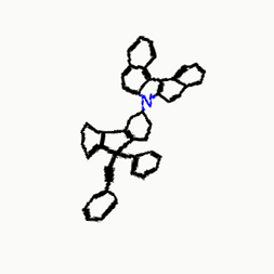 C(#CC1(c2ccccc2)C2=C(CC(n3c4ccc5ccccc5c4c4c5ccccc5ccc43)CC2)c2ccccc21)c1ccccc1